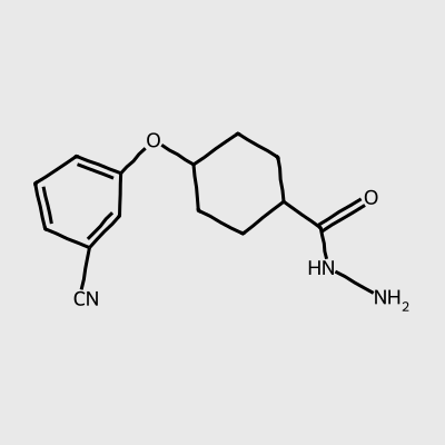 N#Cc1cccc(OC2CCC(C(=O)NN)CC2)c1